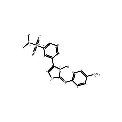 COc1ccc(/N=c2/scc(-c3cccc(S(=O)(=O)N(C)C)c3)n2C)cc1